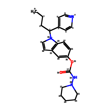 CCCC(c1ccncc1)n1ccc2cc(OC(=O)NN3CCCCC3)ccc21